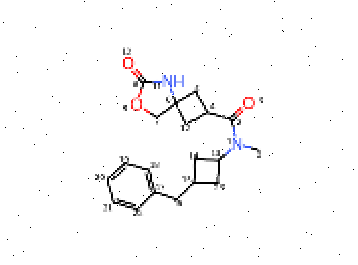 CN(C(=O)C1CC2(COC(=O)N2)C1)C1CC(Cc2ccccc2)C1